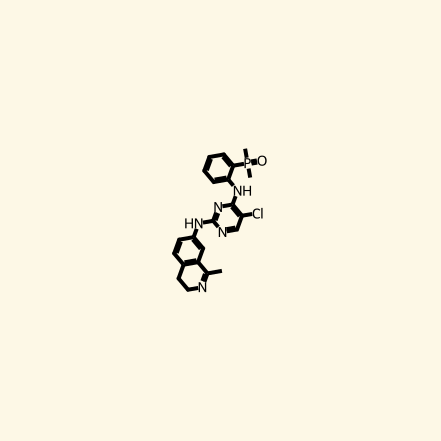 CC1=NCCc2ccc(Nc3ncc(Cl)c(Nc4ccccc4P(C)(C)=O)n3)cc21